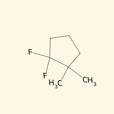 CC1(C)CCCC1(F)F